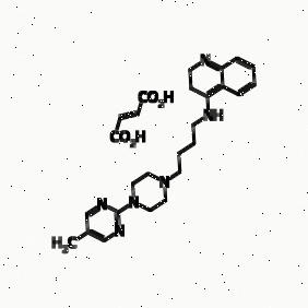 Cc1cnc(N2CCN(CCCCNC3=c4ccccc4=NCC3)CC2)nc1.O=C(O)C=CC(=O)O